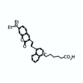 CCN(CC)c1ccc2cc(/C=C/c3cc[n+](CCCCCC(=O)O)c4ccccc34)c(=O)oc2c1